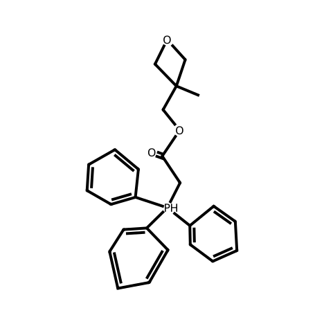 CC1(COC(=O)C[PH](c2ccccc2)(c2ccccc2)c2ccccc2)COC1